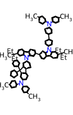 CCC(C)(CC)c1ccc2c3ccc(-c4ccc5c6ccc(C(C)(CC)CC)cc6n(-c6ccc7c(c6)C(c6ccccc6)(c6ccccc6)c6cc(N(c8ccc(C)cc8)c8ccc(C)cc8)ccc6-7)c5c4)cc3n(-c3ccc(-c4ccc(N(c5ccc(C)cc5)c5ccc(C)cc5)cc4)cc3)c2c1